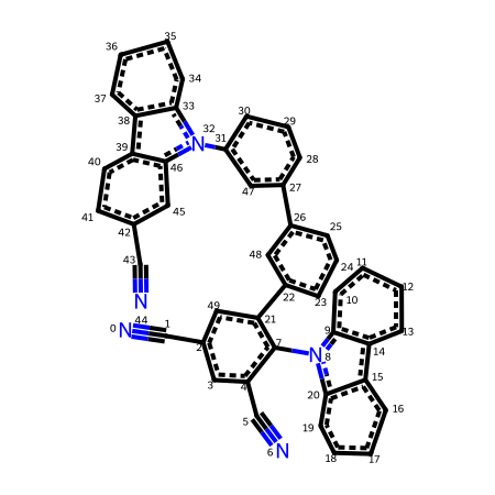 N#Cc1cc(C#N)c(-n2c3ccccc3c3ccccc32)c(-c2cccc(-c3cccc(-n4c5ccccc5c5ccc(C#N)cc54)c3)c2)c1